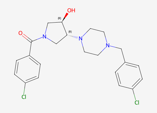 O=C(c1ccc(Cl)cc1)N1C[C@@H](O)[C@H](N2CCN(Cc3ccc(Cl)cc3)CC2)C1